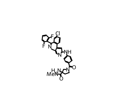 CNC(=O)C1(N)CCN(C(=O)c2ccc(Nc3cc4c(cn3)CN=C(c3c(F)cccc3F)c3cc(Cl)ccc3-4)cc2)C1